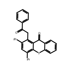 CC(C)c1cc(C(C)C)c2sc3ccccc3c(=O)c2c1CC(=O)c1ccccc1